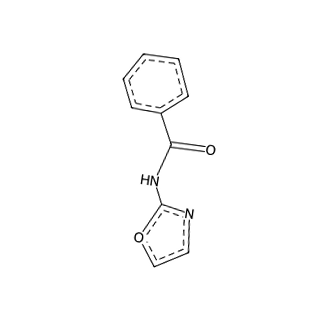 O=C(Nc1ncco1)c1ccccc1